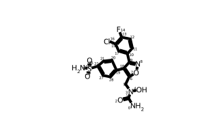 NC(=O)N(O)Cc1onc(-c2ccc(F)c(Cl)c2)c1-c1ccc(S(N)(=O)=O)cc1